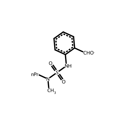 CCCN(C)S(=O)(=O)Nc1ccccc1[C]=O